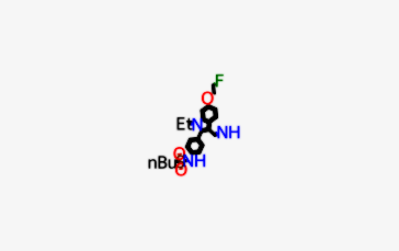 CCCCS(=O)(=O)Nc1ccc(-c2c(C=N)c3ccc(OCCF)cc3n2CC)cc1